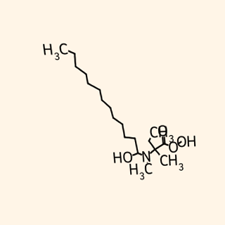 CCCCCCCCCCCCC(O)N(C)C(C)(CC)C(=O)OO